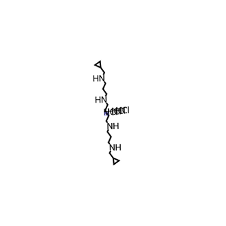 C(=C\CNCCCNCC1CC1)/CNCCCNCC1CC1.Cl.Cl.Cl.Cl